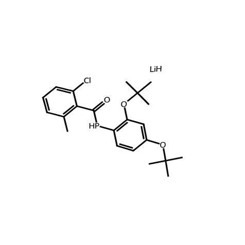 Cc1cccc(Cl)c1C(=O)Pc1ccc(OC(C)(C)C)cc1OC(C)(C)C.[LiH]